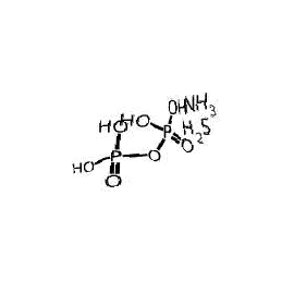 N.O=P(O)(O)OP(=O)(O)O.S